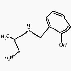 CC(CN)NCc1ccccc1O